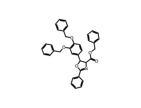 O=C(OCc1ccccc1)C1N=C(c2ccccc2)OC1c1ccc(OCc2ccccc2)c(OCc2ccccc2)c1